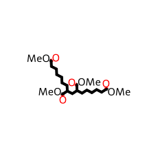 COC(=O)CCCCCCC(CC(CCCCCC(=O)OC)C(=O)OC)C(=O)OC